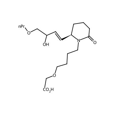 CCCOCC(O)/C=C/[C@H]1CCCC(=O)N1CCCCOCC(=O)O